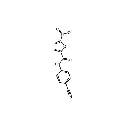 N#Cc1ccc(NC(=O)c2ccc([N+](=O)[O-])o2)cc1